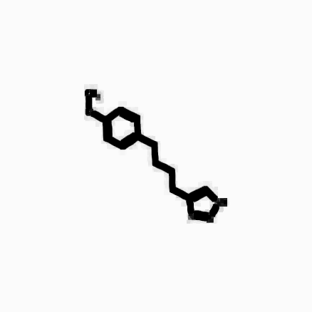 COc1ccc(CCCCc2c[nH]nn2)cc1